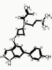 C=C(F)C(=O)N(CCN(C)C)[C@H]1C[C@@H](Oc2cc(-c3ccc(O)cc3)cc3[nH]ncc23)C1